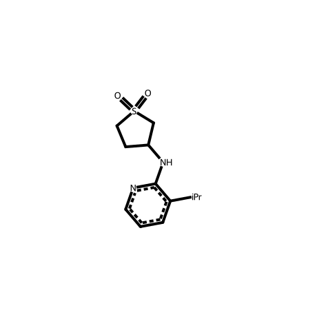 CC(C)c1cccnc1NC1CCS(=O)(=O)C1